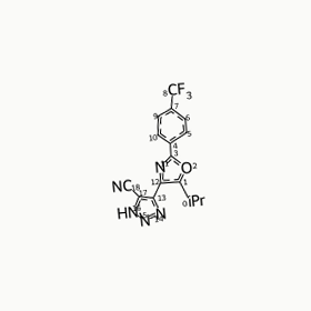 CC(C)c1oc(-c2ccc(C(F)(F)F)cc2)nc1-c1nn[nH]c1C#N